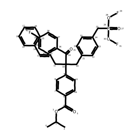 CC(C)OC(=O)c1ccc(C(CC=Cc2ccccc2)(Cc2ccc(CP(=O)(OF)OF)cc2)C(=O)c2ccc(F)cc2)cc1